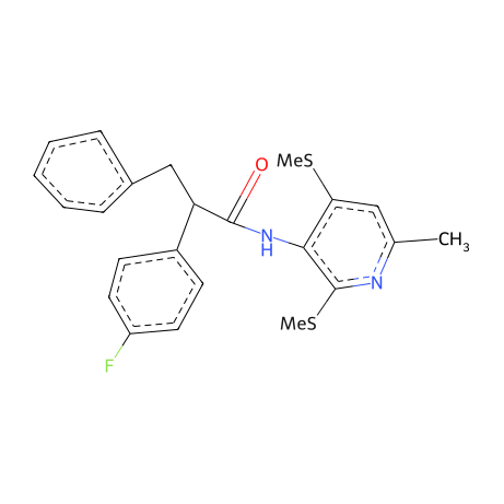 CSc1cc(C)nc(SC)c1NC(=O)C(Cc1ccccc1)c1ccc(F)cc1